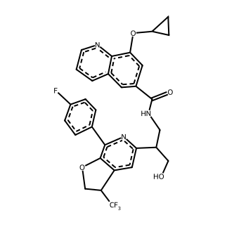 O=C(NCC(CO)c1cc2c(c(-c3ccc(F)cc3)n1)OCC2C(F)(F)F)c1cc(OC2CC2)c2ncccc2c1